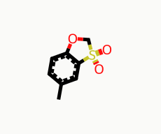 Cc1ccc2c(c1)S(=O)(=O)CO2